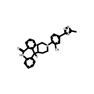 Cc1noc(-c2ccc(N3CCC(C4(F)c5ccccc5NC(=O)c5ccccc54)CC3)c(C#N)c2)n1